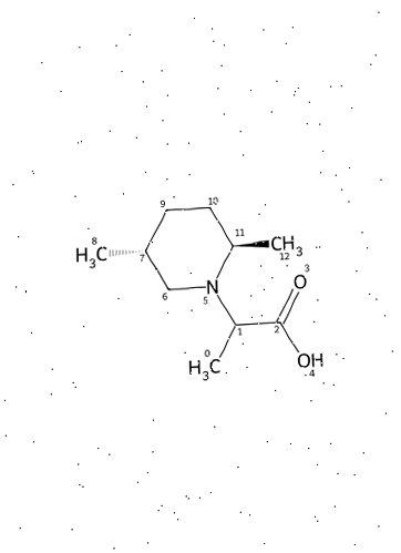 CC(C(=O)O)N1C[C@H](C)CC[C@H]1C